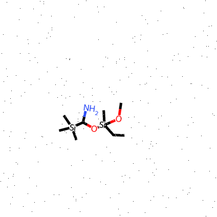 CC[Si](C)(OC)OC(N)[Si](C)(C)C